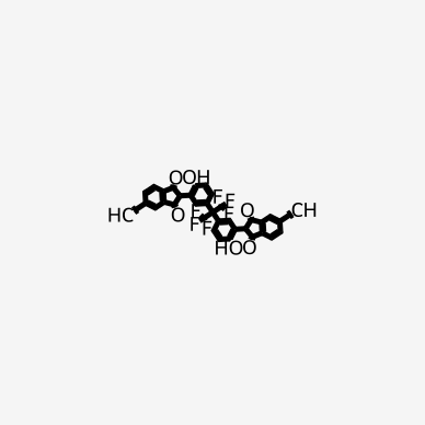 C#Cc1ccc2c(c1)C(=O)C(c1cc(C(c3ccc(O)c(C4C(=O)c5ccc(C#C)cc5C4=O)c3)(C(F)(F)F)C(F)(F)F)ccc1O)C2=O